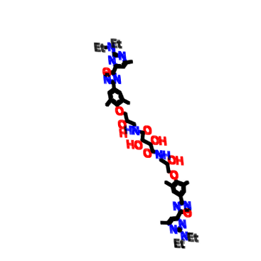 CCN(CC)c1nc(C)cc(-c2nc(-c3cc(C)c(OCC(O)CNC(=O)C(O)C(O)C(=O)NCC(O)COc4c(C)cc(-c5noc(-c6cc(C)nc(N(CC)CC)n6)n5)cc4C)c(C)c3)no2)n1